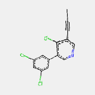 CC#Cc1cncc(-c2cc(Cl)cc(Cl)c2)c1Cl